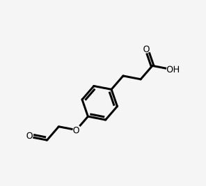 O=CCOc1ccc(CCC(=O)O)cc1